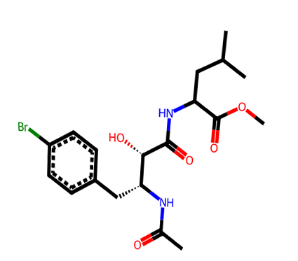 COC(=O)C(CC(C)C)NC(=O)[C@@H](O)[C@@H](Cc1ccc(Br)cc1)NC(C)=O